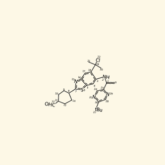 C=C(Nc1cc2sc(C3CCC(C=O)CC3)nc2cc1C(C)(C)Cl)c1cnc(C(C)(C)C)cn1